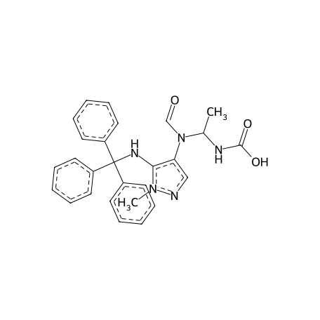 CC(NC(=O)O)N(C=O)c1cnn(C)c1NC(c1ccccc1)(c1ccccc1)c1ccccc1